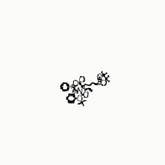 C=CC[C@]1(CCCCB2OC(C)(C)C(C)(C)O2)C(=O)O[C@@H](c2ccccc2)[C@@H](c2ccccc2)N1C(=O)OC(C)(C)C